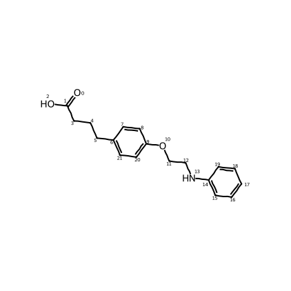 O=C(O)CCCc1ccc(OCCNc2ccccc2)cc1